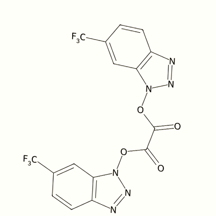 O=C(On1nnc2ccc(C(F)(F)F)cc21)C(=O)On1nnc2ccc(C(F)(F)F)cc21